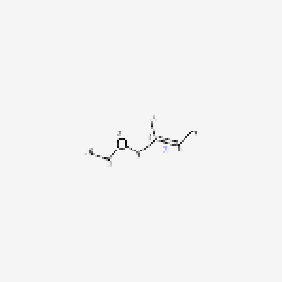 [CH2]COC/C(C)=C/C